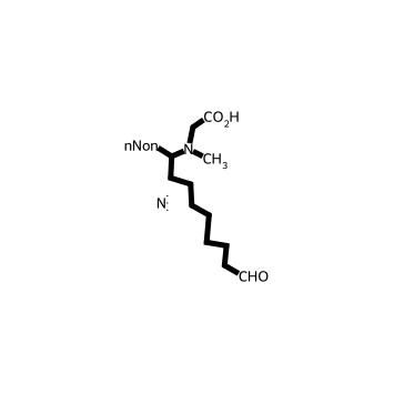 CCCCCCCCCC(CCCCCCCC=O)N(C)CC(=O)O.[N]